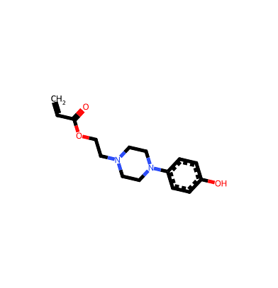 C=CC(=O)OCCN1CCN(c2ccc(O)cc2)CC1